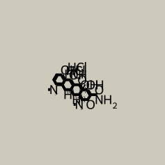 CN(C)c1ccc(O)c2c1C[C@H]1C[C@H]3[C@H](N(C)C)C(=O)C(C(N)=O)=C(O)[C@@]3(O)C(=O)C1=C2O.Cl.Cl.Cl